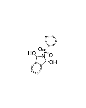 O=S(=O)(c1ccccc1)N1C(O)c2ccccc2C1O